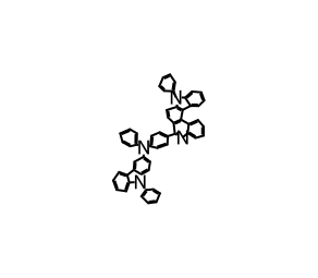 c1ccc(N(c2ccc(-c3nc4ccccc4c4c3ccc3c4c4ccccc4n3-c3ccccc3)cc2)c2ccc3c(c2)c2ccccc2n3-c2ccccc2)cc1